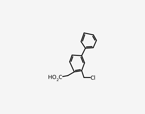 O=C(O)Cc1ccc(-c2ccccc2)cc1CCl